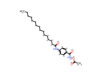 CCCCCCCCCCCCCCCC(=O)Nc1ccc(C(=O)NOC(C)=O)cc1